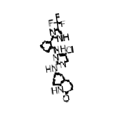 O=C1CCCc2cc(Nc3ncc(Cl)c(Nc4ccccc4-c4nc(C(F)(F)F)c[nH]4)n3)ccc2N1